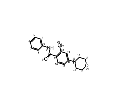 O=C(Nc1ccccc1)c1ccc(N2CCOCC2)cc1O